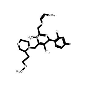 CN/C=C\SCC1=NC(c2ccc(F)cc2Cl)C(C(F)(F)F)=C(CN2CCOCC2CCOOC)N1C